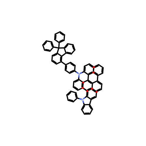 C1=c2cccc(-c3ccccc3)c2=C(c2ccccc2N(c2ccc(-c3cccc4c3-c3ccccc3C4(c3ccccc3)c3ccccc3)cc2)c2cccc(-c3cccc4c5ccccc5n(-c5ccccc5)c34)c2)CC1